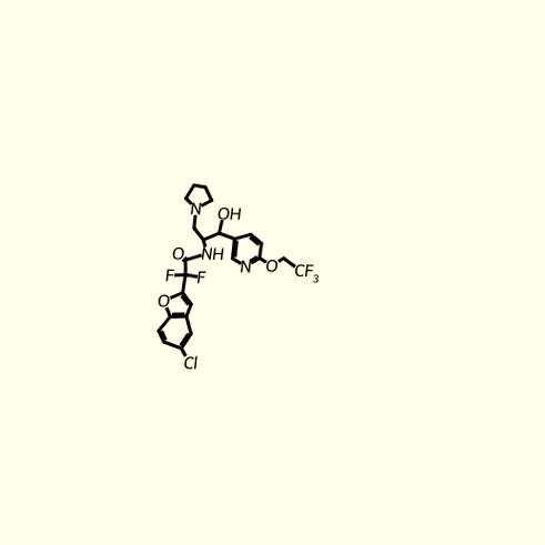 O=C(NC(CN1CCCC1)C(O)c1ccc(OCC(F)(F)F)nc1)C(F)(F)c1cc2cc(Cl)ccc2o1